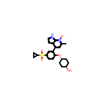 Cc1cc(-c2cc(S(=O)(=O)C3CC3)ccc2O[C@H]2CC[C@H](O)CC2)c2cc[nH]c2[n+]1[O-]